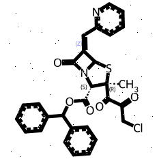 C[C@@]1(C(=O)C(=O)CCl)SC2/C(=C\c3ccccn3)C(=O)N2[C@H]1C(=O)OC(c1ccccc1)c1ccccc1